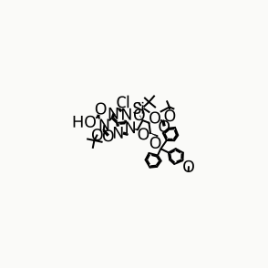 COc1ccc(C(OC[C@H]2O[C@@H](n3cnc4c(N(C(=O)O)C(=O)OC(C)(C)C)nc(Cl)nc43)[C@H](O[Si](C)(C)C(C)(C)C)[C@H]2OC(=O)OC(C)(C)C)(c2ccccc2)c2ccccc2)cc1